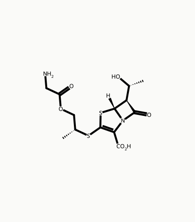 C[C@H](COC(=O)CN)SC1=C(C(=O)O)N2C(=O)[C@H]([C@@H](C)O)[C@H]2S1